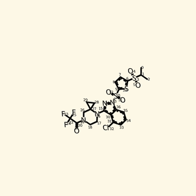 CC(C)S(=O)(=O)c1ccc(S(=O)(=O)n2nc(N3CCN(C(=O)C(F)(F)F)CC34CC4)c3c(Cl)cccc32)s1